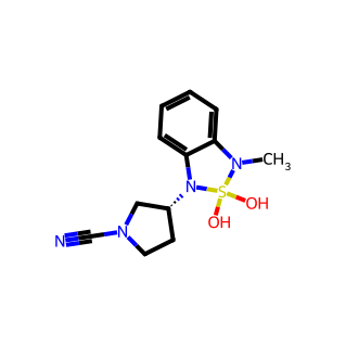 CN1c2ccccc2N([C@@H]2CCN(C#N)C2)S1(O)O